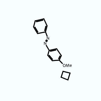 C1CCC1.COc1ccc(N=Nc2ccccc2)cc1